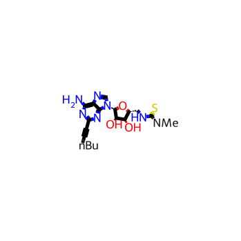 CCCCC#Cc1nc(N)c2ncn([C@@H]3O[C@H](CNC(=S)NC)[C@@H](O)[C@H]3O)c2n1